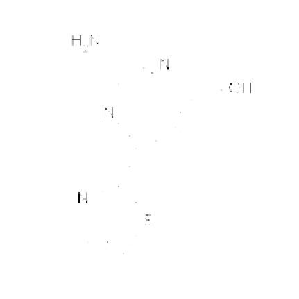 Cc1csc(-c2cc(O)nc(N)n2)n1